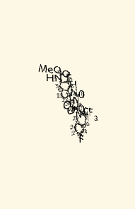 COC(=O)Nc1cc2c(cc1F)C1(CC2)NC(=O)N(CC(=O)N2Cc3ccc(F)cc3CC[C@]2(O)C(F)(F)F)C1=O